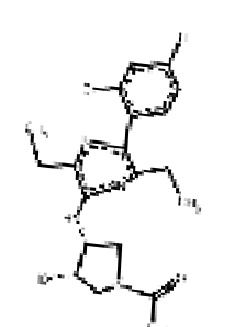 CCc1nc(-c2ccc(Cl)cc2Cl)c(CC)nc1N[C@@H]1CN(C(=O)O)C[C@@H]1O